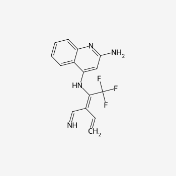 C=C/C(C=N)=C(/Nc1cc(N)nc2ccccc12)C(F)(F)F